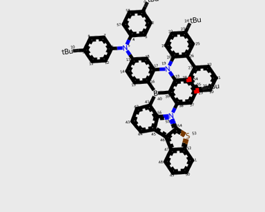 CC(C)(C)c1ccc(N(c2ccc(C(C)(C)C)cc2)c2ccc3c(c2)N(c2ccc(C(C)(C)C)cc2-c2ccccc2)c2cc(C(C)(C)C)cc4c2B3c2cccc3c5c6ccccc6sc5n-4c23)cc1